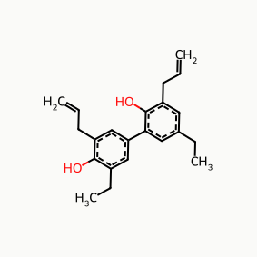 C=CCc1cc(-c2cc(CC)cc(CC=C)c2O)cc(CC)c1O